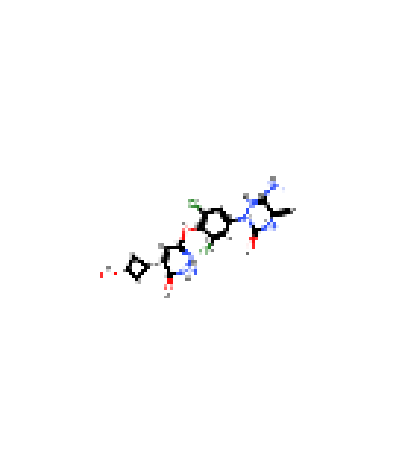 C=C1NC(=O)N(c2cc(Cl)c(Oc3cc([C@H]4C[C@@H](O)C4)c(=O)[nH]n3)c(Cl)c2)N=C1N